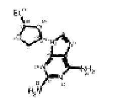 CC[C@@H]1OC[C@@H](n2cnc3c(N)nc(N)nc32)O1